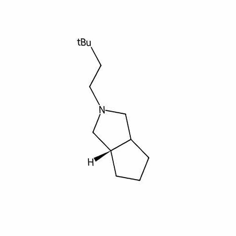 CC(C)(C)CCN1CC2CCC[C@@H]2C1